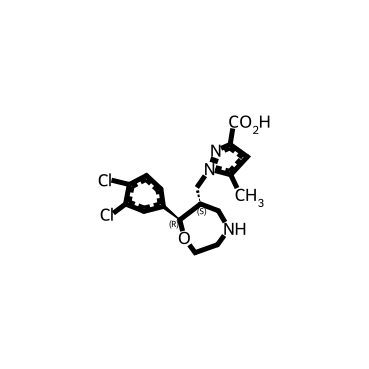 Cc1cc(C(=O)O)nn1C[C@@H]1CNCCO[C@H]1c1ccc(Cl)c(Cl)c1